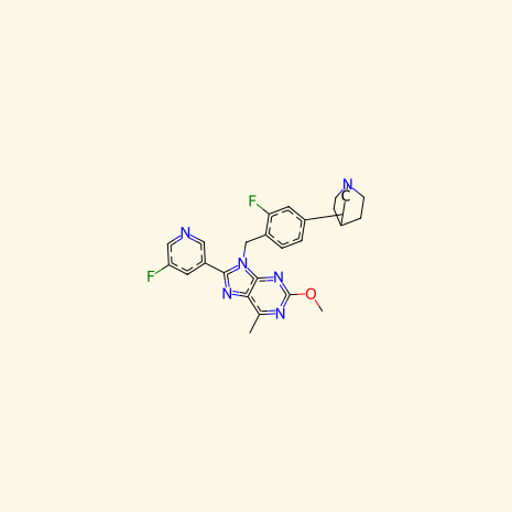 COc1nc(C)c2nc(-c3cncc(F)c3)n(Cc3ccc(C4CN5CCC4CC5)cc3F)c2n1